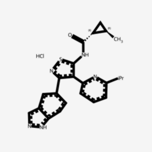 CC(C)c1cccc(-c2c(-c3ccc4[nH]ncc4c3)nsc2NC(=O)[C@@H]2C[C@H]2C)n1.Cl